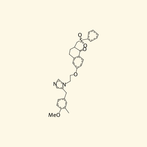 COc1ccc(Cc2cncn2CCOc2ccc3c(c2)CCC(CS(=O)(=O)c2ccccc2)C3=O)cc1C